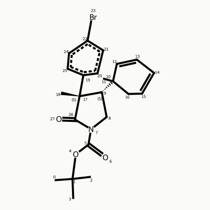 CC(C)(C)OC(=O)N1C[C@@H](C2(C)C=CC=CC2)[C@@](C)(c2ccc(Br)cc2)C1=O